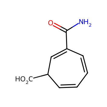 NC(=O)C1=CC(C(=O)O)C=CC=C1